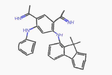 CC(=N)c1cc(C(C)=N)c(Nc2cccc3c2C(C)(C)c2ccccc2-3)cc1Nc1ccccc1